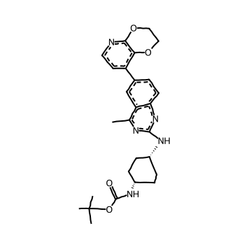 Cc1nc(N[C@H]2CC[C@@H](NC(=O)OC(C)(C)C)CC2)nc2ccc(-c3ccnc4c3OCCO4)cc12